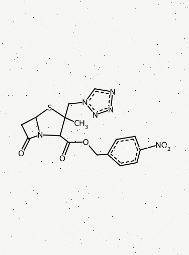 CC1(Cn2cnnn2)SC2CC(=O)N2C1C(=O)OCc1ccc([N+](=O)[O-])cc1